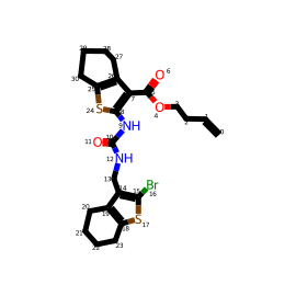 C=CCCOC(=O)c1c(NC(=O)NCc2c(Br)sc3c2CCCC3)sc2c1CCCC2